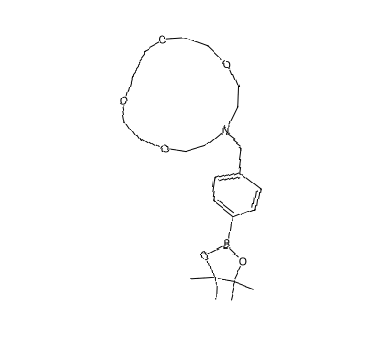 CC1(C)OB(c2ccc(CN3CCOCCOCCOCCOCC3)cc2)OC1(C)C